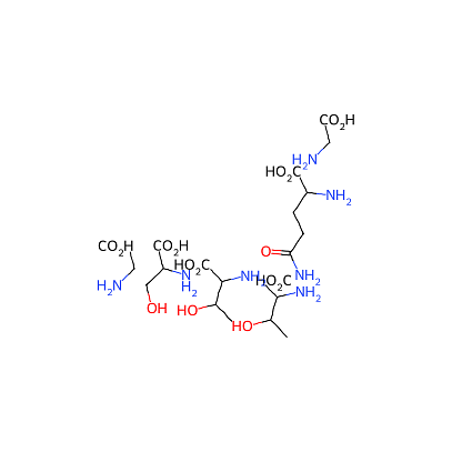 CC(O)C(N)C(=O)O.CC(O)C(N)C(=O)O.NC(=O)CCC(N)C(=O)O.NC(CO)C(=O)O.NCC(=O)O.NCC(=O)O